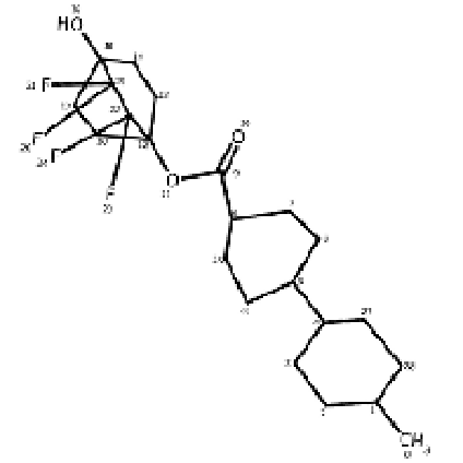 CC1CCC(C2CCC(C(=O)OC34CCC(O)(CC3)C(F)(F)C4(F)F)CC2)CC1